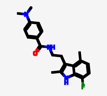 Cc1[nH]c2c(F)ccc(C)c2c1CCNC(=O)c1ccc(N(C)C)cc1